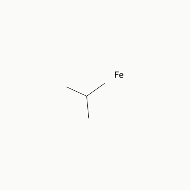 CC(C)C.[Fe]